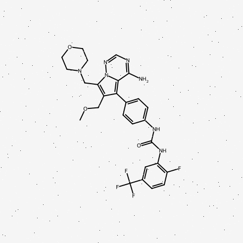 COCc1c(-c2ccc(NC(=O)Nc3cc(C(F)(F)F)ccc3F)cc2)c2c(N)ncnn2c1CN1CCOCC1